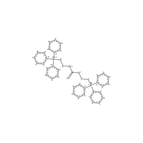 O=C(OCC[PH](c1ccccc1)(c1ccccc1)c1ccccc1)OCC[PH](c1ccccc1)(c1ccccc1)c1ccccc1